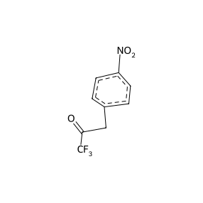 O=C(Cc1ccc([N+](=O)[O-])cc1)C(F)(F)F